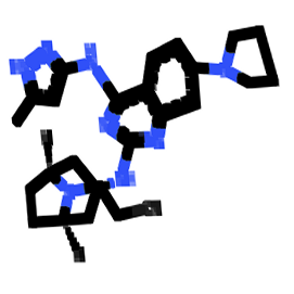 Cc1cc(Nc2nc(N[C@@H]3C[C@H]4CC[C@@H](C3)N4CCC#N)nc3cc(N4CCCC4)ccc23)n[nH]1